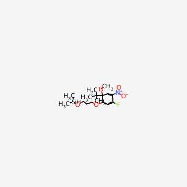 COC1(C(C)(C)C)C=C([N+](=O)[O-])C(F)=CC1OCCCO[SiH](C)C